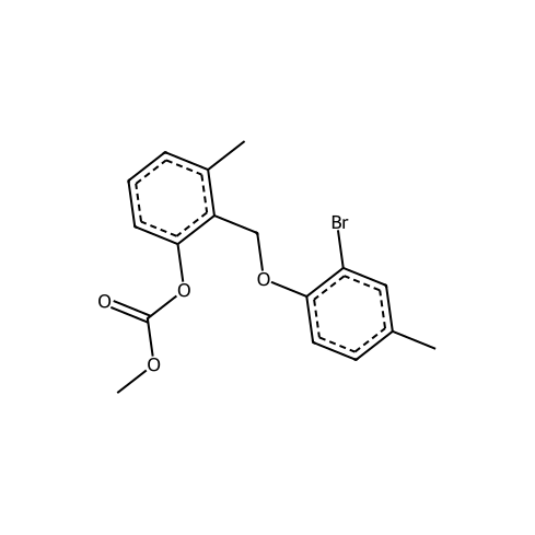 COC(=O)Oc1cccc(C)c1COc1ccc(C)cc1Br